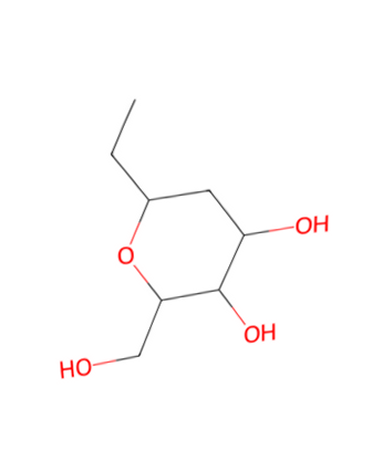 CCC1CC(O)C(O)C(CO)O1